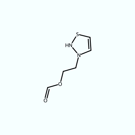 O=COCCN1C=CSN1